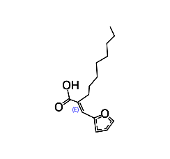 CCCCCCCC/C(=C\c1ccco1)C(=O)O